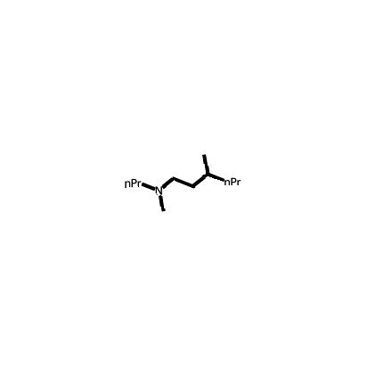 CCCC(C)CCN(C)CCC